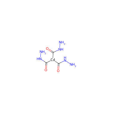 NN[C](=O)[Cd]([C](=O)NN)[C](=O)NN